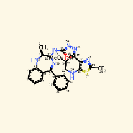 C=C1Nc2ccccc2C(c2ccccc2)=N[C@@H]1Nc1nnc(-c2nc(C(F)(F)F)sc2NC[C@H](C)OC)o1